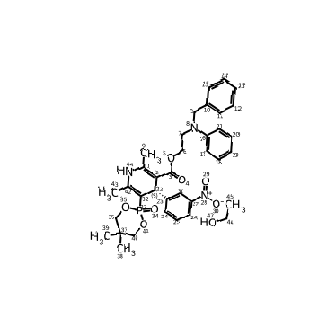 CC1=C(C(=O)OCCN(Cc2ccccc2)c2ccccc2)[C@H](c2cccc([N+](=O)[O-])c2)C(P2(=O)OCC(C)(C)CO2)=C(C)N1.CCO